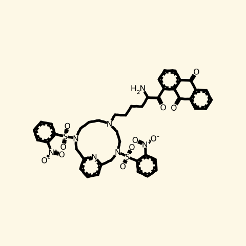 NC(CCCCN1CCCN(S(=O)(=O)c2ccccc2[N+](=O)[O-])Cc2cccc(n2)CN(S(=O)(=O)c2ccccc2[N+](=O)[O-])CC1)C(=O)c1cccc2c1C(=O)c1ccccc1C2=O